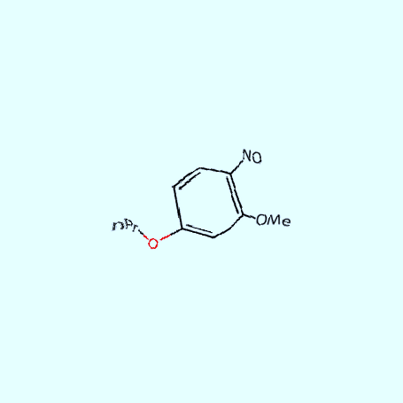 CCCOc1ccc(N=O)c(OC)c1